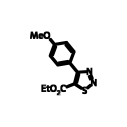 CCOC(=O)c1snnc1-c1ccc(OC)cc1